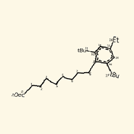 CCCCCCCCCCCCCCCCC[CH]c1c(C(C)(C)C)cc(CC)cc1C(C)(C)C